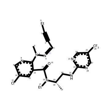 CCC#C/C=N\N(C)c1ncc(Cl)cc1C(=O)N(CC)[C@@H](C)CNc1ncc(C(F)(F)F)cn1